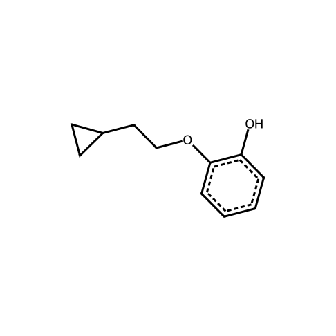 Oc1ccccc1OCCC1CC1